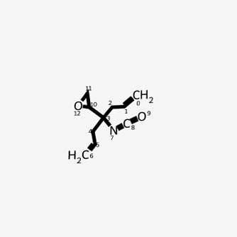 C=CCC(CC=C)(N=C=O)C1CO1